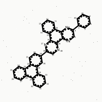 c1ccc(-c2cnc3c(n2)c2ccccc2c2nc(-c4ccc5c6ccccc6c6ccccc6c5c4)cnc23)cc1